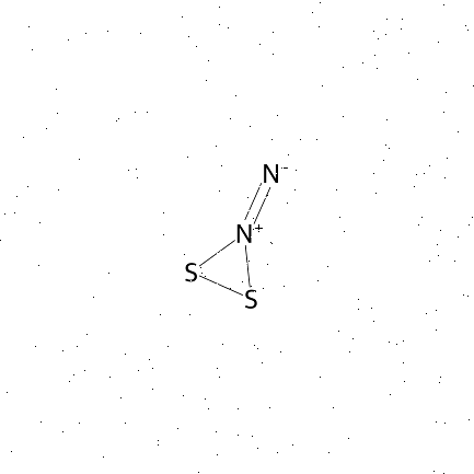 [N-]=[N+]1SS1